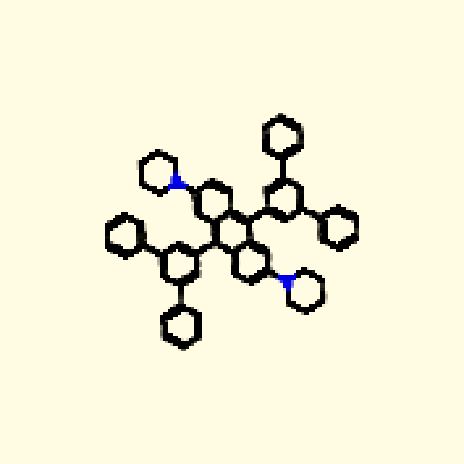 c1ccc(-c2cc(-c3ccccc3)cc(-c3c4ccc(N5CCCCC5)cc4c(-c4cc(-c5ccccc5)cc(-c5ccccc5)c4)c4ccc(N5CCCCC5)cc34)c2)cc1